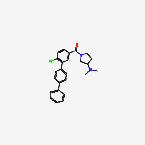 CN(C)C1CCN(C(=O)c2ccc(Cl)c(-c3ccc(-c4ccccc4)cc3)c2)C1